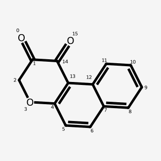 O=C1COc2ccc3ccccc3c2C1=O